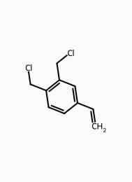 C=Cc1ccc(CCl)c(CCl)c1